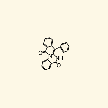 O=c1[nH]c2c(-c3ccccc3)c3ccccc3c(=O)n2c2ccccc12